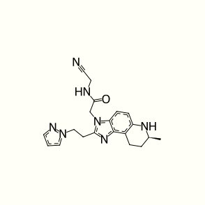 C[C@H]1CCc2c(ccc3c2nc(CCn2cccn2)n3CC(=O)NCC#N)N1